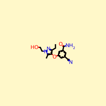 CCc1nn(CCO)c(C)c1Oc1cc(C#N)cc(C(N)=O)c1